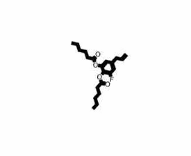 C=CCc1cc(F)c(OC(=O)CCCCC)c(OC(=O)CCCCC)c1